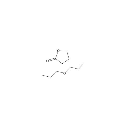 CCCOCCC.O=C1CCCO1